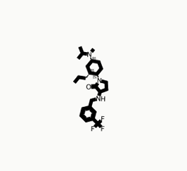 CCC[C@@H]1C[C@H](N(C)C(C)C)CC[C@@H]1N1CCC(NCc2cccc(C(F)(F)F)c2)C1=O